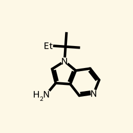 CCC(C)(C)n1cc(N)c2cnccc21